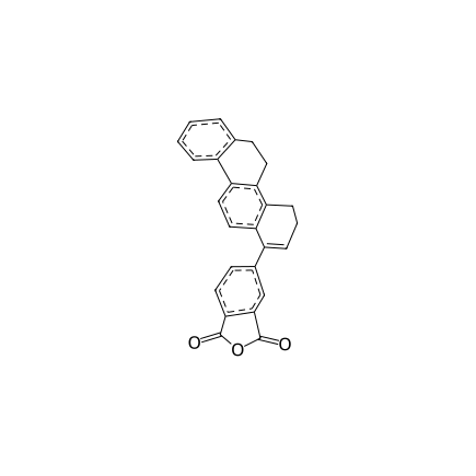 O=C1OC(=O)c2cc(C3=CCCc4c3ccc3c4CCc4ccccc4-3)ccc21